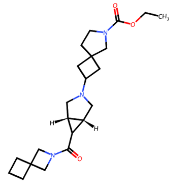 CCOC(=O)N1CCC2(CC(N3C[C@@H]4C(C(=O)N5CC6(CCC6)C5)[C@@H]4C3)C2)C1